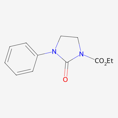 CCOC(=O)N1CCN(c2ccccc2)C1=O